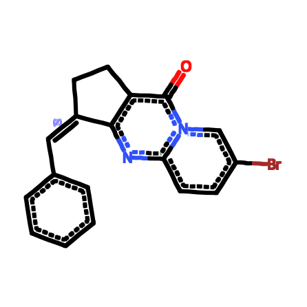 O=c1c2c(nc3ccc(Br)cn13)/C(=C\c1ccccc1)CC2